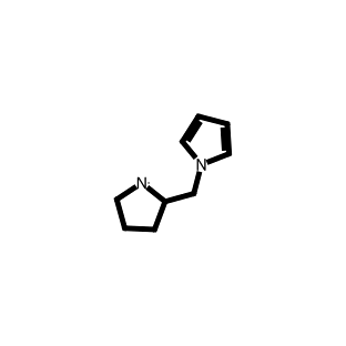 c1ccn(CC2CCC[N]2)c1